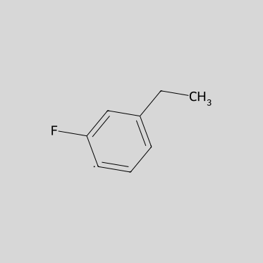 CCc1cc[c]c(F)c1